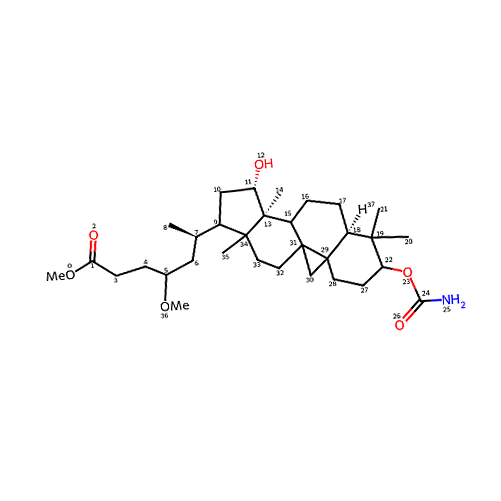 COC(=O)CCC(C[C@@H](C)C1C[C@H](O)[C@@]2(C)C3CC[C@H]4C(C)(C)C(OC(N)=O)CCC45CC35CCC12C)OC